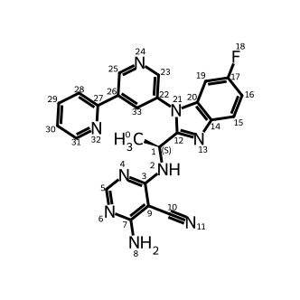 C[C@H](Nc1ncnc(N)c1C#N)c1nc2ccc(F)cc2n1-c1cncc(-c2ccccn2)c1